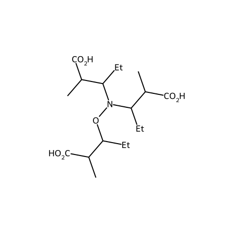 CCC(ON(C(CC)C(C)C(=O)O)C(CC)C(C)C(=O)O)C(C)C(=O)O